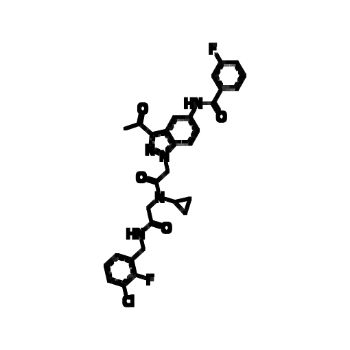 CC(=O)c1nn(CC(=O)N(CC(=O)NCc2cccc(Cl)c2F)C2CC2)c2ccc(NC(=O)c3cccc(F)c3)cc12